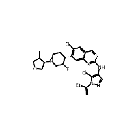 C=C(CC)n1ncc(Nc2ncc3cc(Cl)c([C@H]4CCN([C@H]5COC[C@H]5C)C[C@@H]4F)cc3n2)c1Cl